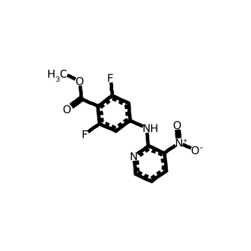 COC(=O)c1c(F)cc(Nc2ncccc2[N+](=O)[O-])cc1F